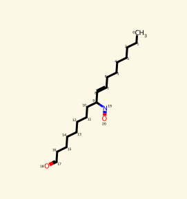 CCCCCCC/C=C/C(CCCCCCCC=O)N=O